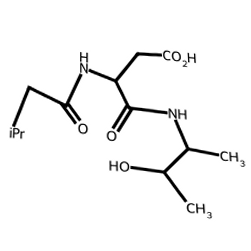 CC(C)CC(=O)NC(CC(=O)O)C(=O)NC(C)C(C)O